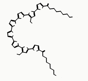 CCCCCCCCC(=O)c1ccc(-c2cc(CC)c(-c3ccc(-c4ccc(-c5ccc(-c6ccc(-c7sc(-c8ccc(C(=O)CCCCCCCC)s8)cc7CC)s6)s5)s4)s3)s2)s1